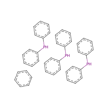 c1ccc(Pc2ccccc2)cc1.c1ccc(Pc2ccccc2)cc1.c1ccc(Pc2ccccc2)cc1.c1ccccc1